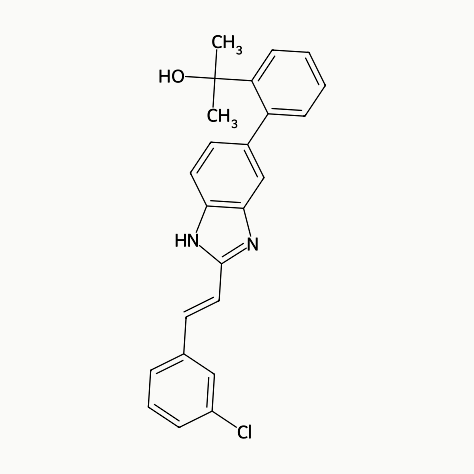 CC(C)(O)c1ccccc1-c1ccc2[nH]c(C=Cc3cccc(Cl)c3)nc2c1